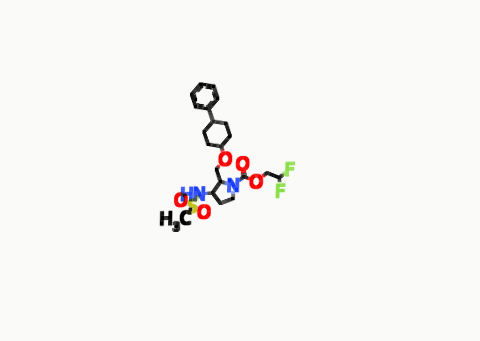 CS(=O)(=O)NC1CCN(C(=O)OCC(F)F)C1COC1CCC(c2ccccc2)CC1